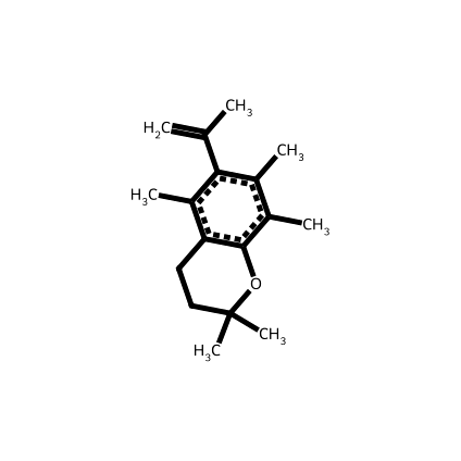 C=C(C)c1c(C)c(C)c2c(c1C)CCC(C)(C)O2